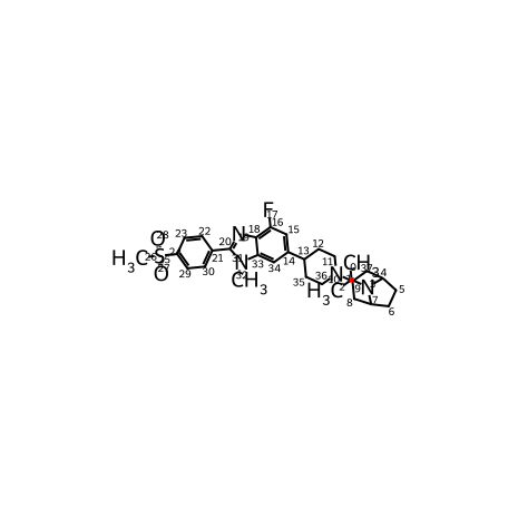 CC(C)N1C2CCC1CC(N1CCC(c3cc(F)c4nc(-c5ccc(S(C)(=O)=O)cc5)n(C)c4c3)CC1)C2